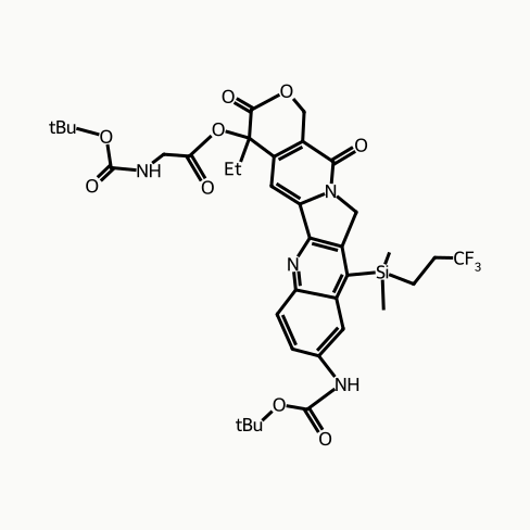 CCC1(OC(=O)CNC(=O)OC(C)(C)C)C(=O)OCc2c1cc1n(c2=O)Cc2c-1nc1ccc(NC(=O)OC(C)(C)C)cc1c2[Si](C)(C)CCC(F)(F)F